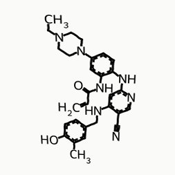 C=CC(=O)Nc1cc(N2CCN(CC)CC2)ccc1Nc1cc(NCc2ccc(O)c(C)c2)c(C#N)cn1